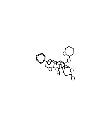 O=C1C[C@@H]2[C@@H](/C(=C\CCOc3ccccc3)OC3CCCCO3)C(C[C@]2(O)OC2CCCCO2)O1